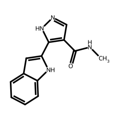 CNC(=O)c1cn[nH]c1-c1cc2ccccc2[nH]1